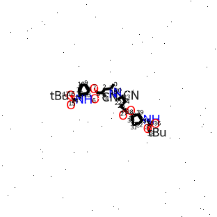 CC(CC(C#N)C(=O)Oc1cccc(NC(=O)OC(C)(C)C)c1)N=NC(C)(C#N)CCC(=O)Oc1cccc(NC(=O)OC(C)(C)C)c1